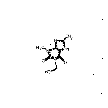 Cc1nc2c([nH]1)c(=O)n(CS)c(=O)n2C